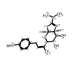 COc1ccc(C/C=C(\[C@H]2O[C@@H]3SC(N(C)C)=N[C@@H]3[C@@H](O)[C@@H]2O)C(F)(F)F)cc1